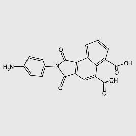 Nc1ccc(N2C(=O)c3cc(C(=O)O)c4c(C(=O)O)cccc4c3C2=O)cc1